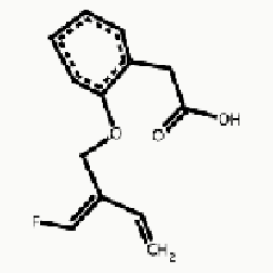 C=C/C(=C/F)COc1ccccc1CC(=O)O